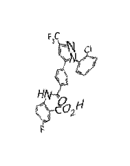 O=C(Nc1ccc(F)cc1C(=O)O)c1ccc(-c2cc(C(F)(F)F)nn2-c2ccccc2Cl)cc1